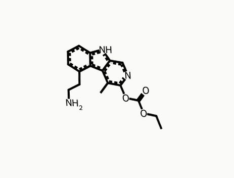 CCOC(=O)Oc1ncc2[nH]c3cccc(CCN)c3c2c1C